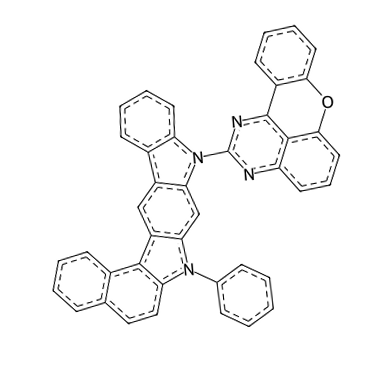 c1ccc(-n2c3cc4c(cc3c3c5ccccc5ccc32)c2ccccc2n4-c2nc3c4c(cccc4n2)Oc2ccccc2-3)cc1